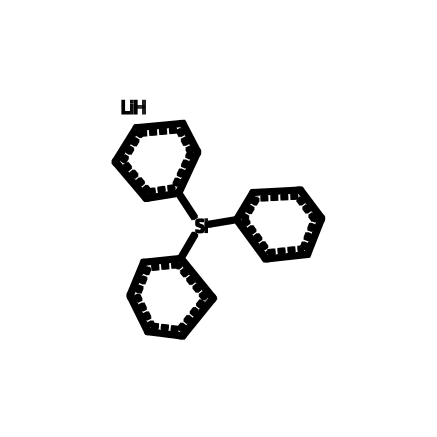 [LiH].c1ccc([Si](c2ccccc2)c2ccccc2)cc1